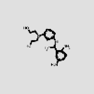 CC(Nc1cccc(N(CCO)CCO)c1)c1cc(N)ccc1N